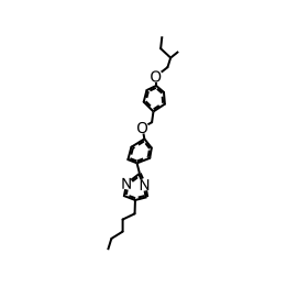 CCCCCc1cnc(-c2ccc(OCc3ccc(OCC(C)CC)cc3)cc2)nc1